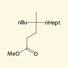 CCCCCCCC(C)(CCCC)CCC(=O)OC